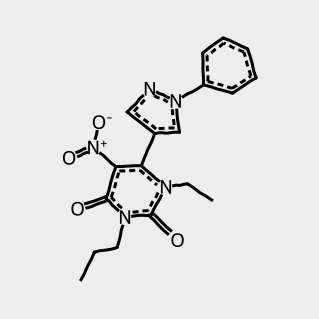 CCCn1c(=O)c([N+](=O)[O-])c(-c2cnn(-c3ccccc3)c2)n(CC)c1=O